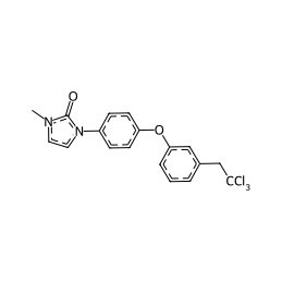 Cn1ccn(-c2ccc(Oc3cccc(CC(Cl)(Cl)Cl)c3)cc2)c1=O